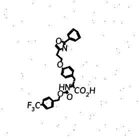 O=C(N[C@@H](Cc1ccc(OCCc2coc(-c3ccccc3)n2)cc1)C(=O)O)OCc1ccc(C(F)(F)F)cc1